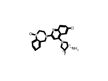 N[C@H]1CN(c2cc(N3CC[S+]([O-])c4ccccc4C3)nc3ccc(Cl)cc23)C[C@@H]1F